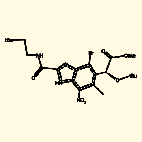 COC(=O)[C@@H](OC(C)(C)C)c1c(C)c([N+](=O)[O-])c2[nH]c(C(=O)NCCC(C)(C)C)cc2c1Br